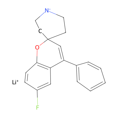 Fc1ccc2c(c1)C(c1ccccc1)=CC1(CC[N-]CC1)O2.[Li+]